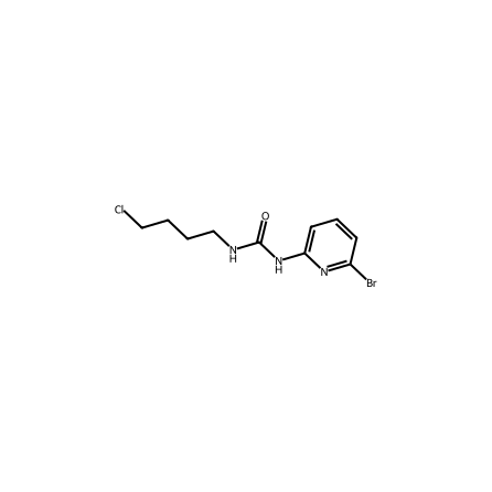 O=C(NCCCCCl)Nc1cccc(Br)n1